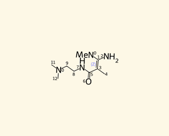 CN/C(N)=C(/C)C(=O)NCCN(C)C